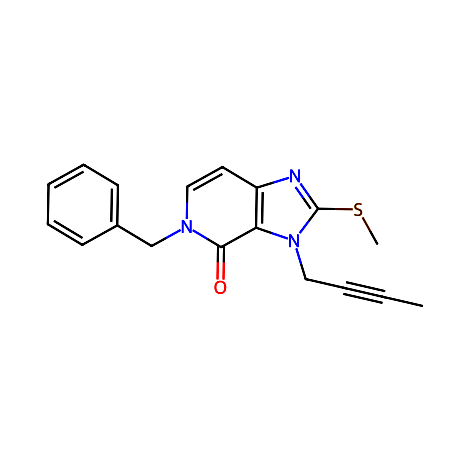 CC#CCn1c(SC)nc2ccn(Cc3ccccc3)c(=O)c21